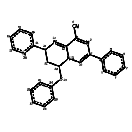 N#CC1=NC(c2ccccc2)=CN2C1=NC(c1ccccn1)CC2Sc1ccccc1